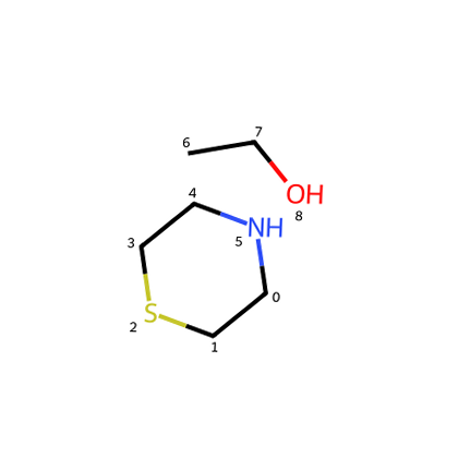 C1CSCCN1.CCO